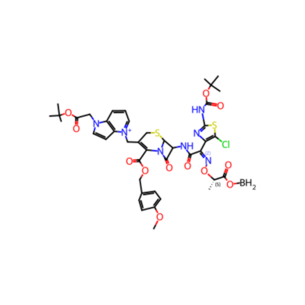 BOC(=O)[C@H](C)O/N=C(\C(=O)NC1C(=O)N2C(C(=O)OCc3ccc(OC)cc3)=C(C[n+]3cccc4c3ccn4CC(=O)OC(C)(C)C)CSC12)c1nc(NC(=O)OC(C)(C)C)sc1Cl